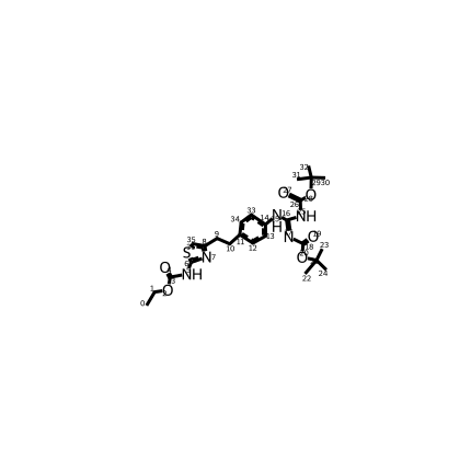 CCOC(=O)Nc1nc(CCc2ccc(NC(=NC(=O)OC(C)(C)C)NC(=O)OC(C)(C)C)cc2)cs1